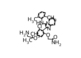 Cc1cccc(C)c1Nc1c(-c2c(Cl)cc(OC(C)(C)CN)cc2OCC(N)=O)nc2ccccn12